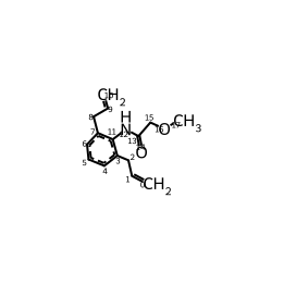 C=CCc1cccc(CC=C)c1NC(=O)COC